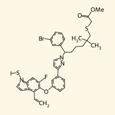 C=Cc1c(Oc2cccc(-c3ccn(C(CCCC(C)(C)CSCC(=O)OC)c4cccc(Br)c4)n3)c2)c(F)cc2c1ccn2SI